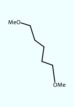 [CH2-][OH+]CCCCC[OH+][CH2-]